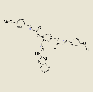 CCOc1ccc(/C=C/C(=O)Oc2ccc(OC(=O)/C=C/c3ccc(OC)cc3)c(/C=N/Nc3nc4ccccc4s3)c2)cc1